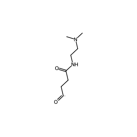 CN(C)CCNC(=O)CC[C]=O